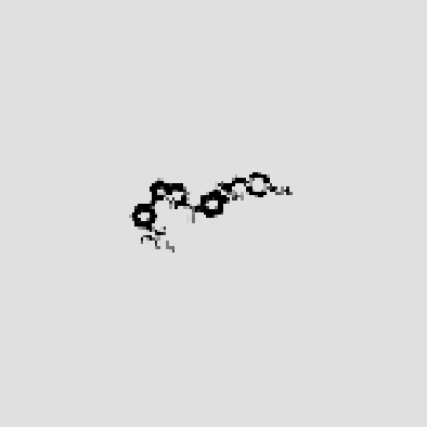 CN1CCN(Cc2nc3cc(Nc4ncc5ccc(-c6cccc(S(C)(=O)=O)c6)n5n4)ccc3[nH]2)CC1